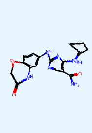 NC(=O)c1cnc(Nc2ccc3c(c2)NC(=O)CO3)nc1NC1CCC1